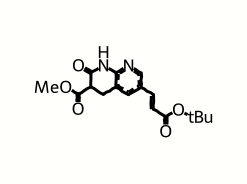 COC(=O)C1Cc2cc(C=CC(=O)OC(C)(C)C)cnc2NC1=O